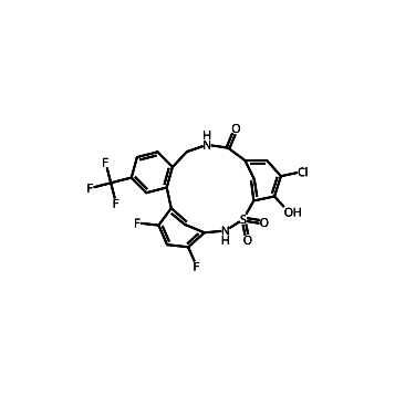 O=C1NCc2ccc(C(F)(F)F)cc2-c2cc(c(F)cc2F)NS(=O)(=O)c2cc1cc(Cl)c2O